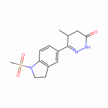 CC1CC(=O)NN=C1c1ccc2c(c1)CCN2S(C)(=O)=O